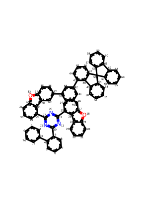 c1ccc(-c2ccccc2-c2nc(-c3cccc4oc5ccccc5c34)nc(-c3cccc4oc5ccc(-c6cccc(-c7cccc8c7-c7ccccc7C87c8ccccc8-c8ccccc87)c6)cc5c34)n2)cc1